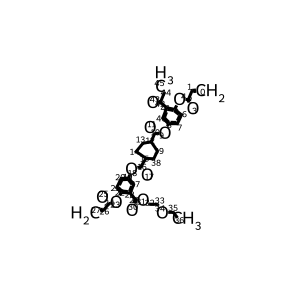 C=CC(=O)Oc1ccc(OC(=O)C2CCC(C(=O)Oc3ccc(OC(=O)C=C)c(C(=O)OCCOCC)c3)CC2)cc1C(=O)CC